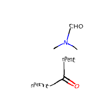 CCCCCC(=O)CCCCC.CN(C)C=O